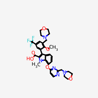 COc1c(CN2CCOCC2)cc(C(F)(F)F)cc1-c1c(C(=O)O)n(C)c2c(Oc3ccnc(CN4CCOCC4)n3)cccc12